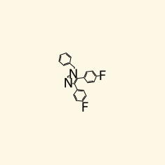 Fc1ccc(-c2ncn(Cc3ccccc3)c2-c2ccc(F)cc2)cc1